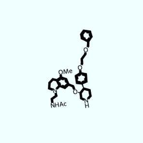 COc1cc(CO[C@H]2CNCC[C@@H]2c2ccc(OCCCOCc3ccccc3)cc2)cc2c1CCCN2CCNC(C)=O